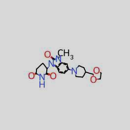 Cn1c(=O)n(C2CCC(=O)NC2=O)c2ccc(N3CCC(C4OCCO4)CC3)cc21